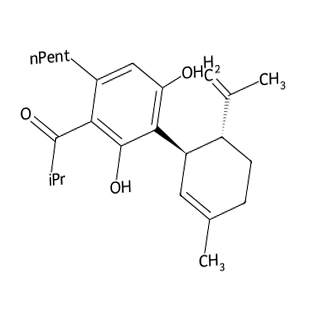 C=C(C)[C@@H]1CCC(C)=C[C@H]1c1c(O)cc(CCCCC)c(C(=O)C(C)C)c1O